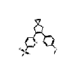 CSc1ccc(C2=C(c3ccc(S(C)(=O)=O)cn3)CC3(CC3)C2)cc1